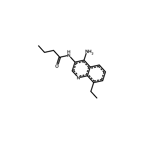 CCCC(=O)Nc1cnc2c(CC)cccc2c1N